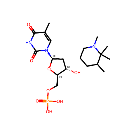 CC1CCCN(C)C1(C)C.Cc1cn([C@H]2C[C@H](O)[C@@H](COP(=O)(O)O)O2)c(=O)[nH]c1=O